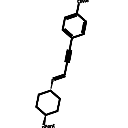 CCCCC[C@H]1CC[C@H](/C=C/C#Cc2ccc(OC)cc2)CC1